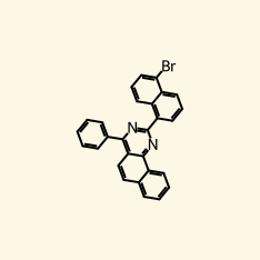 Brc1cccc2c(-c3nc(-c4ccccc4)c4ccc5ccccc5c4n3)cccc12